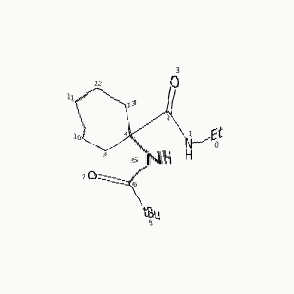 CCNC(=O)C1(NC(=O)C(C)(C)C)CCCCC1